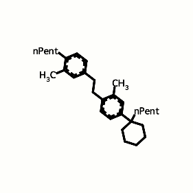 CCCCCc1ccc(CCc2ccc(C3(CCCCC)CCCCC3)cc2C)cc1C